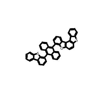 c1ccc2c(c1)sc1c(-c3c4ccccc4c(-c4cccc5c4oc4ccc6sc7ccccc7c6c45)c4ccccc34)cccc12